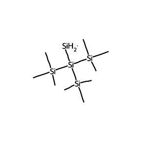 C[Si](C)(C)[Si]([SiH2])([Si](C)(C)C)[Si](C)(C)C